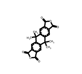 CC1(C)c2cc3c(cc2C(C)(C)c2cc4c(cc21)C(=O)OC4=O)C(=O)OC3=O